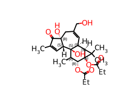 CCC(=O)O[C@@H]1[C@@H](C)[C@@]2(O)[C@@H](C=C(CO)C[C@]3(O)C(=O)C(C)=C[C@@H]23)[C@H]2C(C)(C)[C@]12OC(=O)CC